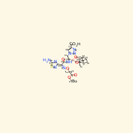 CC(C)(C)OC(=O)C(C)(C)O/N=C(\C(=O)N[C@@H](Cn1cc(C(=O)O)nn1)B1OC2CC3CC(C3(C)C)[C@]2(C)O1)c1nsc(N)n1